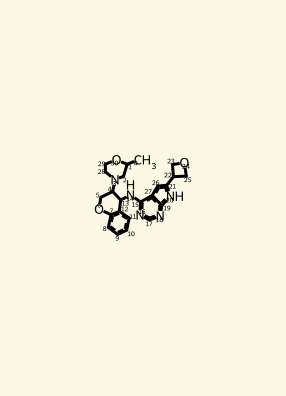 CC1CN(C2COc3ccccc3C2Nc2ncnc3[nH]c(C4COC4)cc23)CCO1